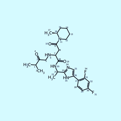 CC(C)C(=O)CNC(CC(=O)N1CCCC[C@@H]1C)C(=O)NC(C)c1ncc(-c2ccc(F)cc2F)[nH]1